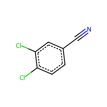 N#Cc1ccc(Cl)c(Cl)c1